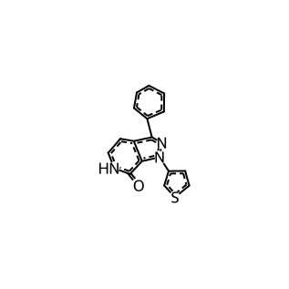 O=c1[nH]ccc2c(-c3ccccc3)nn(-c3ccsc3)c12